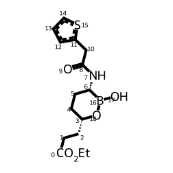 CCOC(=O)CC[C@@H]1CC[C@H](NC(=O)Cc2cccs2)B(O)O1